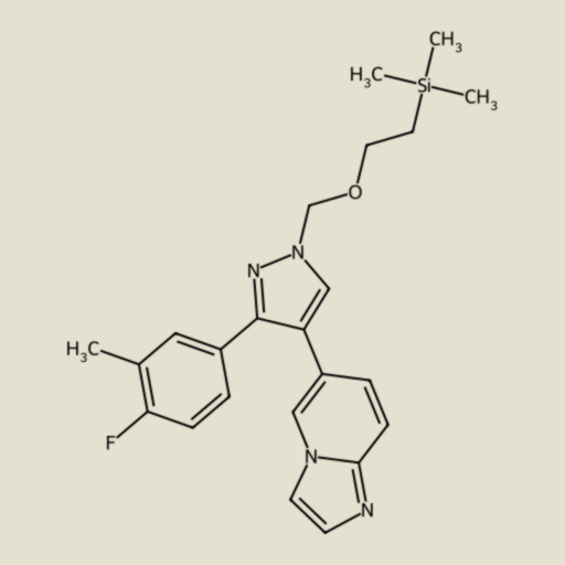 Cc1cc(-c2nn(COCC[Si](C)(C)C)cc2-c2ccc3nccn3c2)ccc1F